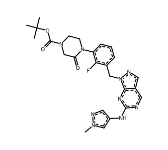 Cn1cc(Nc2ncc3cnn(Cc4cccc(N5CCN(C(=O)OC(C)(C)C)CC5=O)c4F)c3n2)cn1